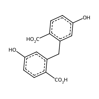 O=C(O)c1ccc(O)cc1Cc1cc(O)ccc1C(=O)O